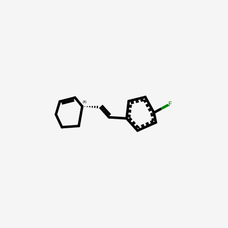 Fc1ccc(C=C[C@H]2C=CCCC2)cc1